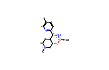 Cc1ccc([C@@H](N[S+]([O-])C(C)(C)C)C2CCN(C)CC2)nc1